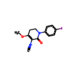 [C-]#[N+]C1=C(OC)CCN(c2ccc(I)cc2)C1=O